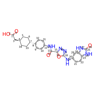 O=C(O)C[C@H]1CC[C@H](c2ccc(NC(=O)c3nnc(Nc4ccc5[nH]c(=O)[nH]c5c4)o3)cc2)CC1